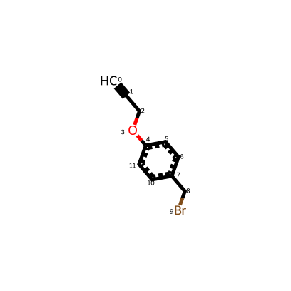 C#CCOc1ccc(CBr)cc1